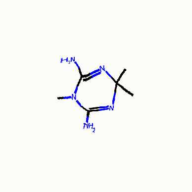 CN1C(N)=NC(C)(C)N=C1N